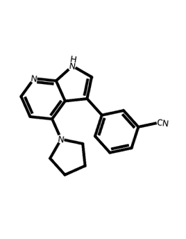 N#Cc1cccc(-c2c[nH]c3nccc(N4CCCC4)c23)c1